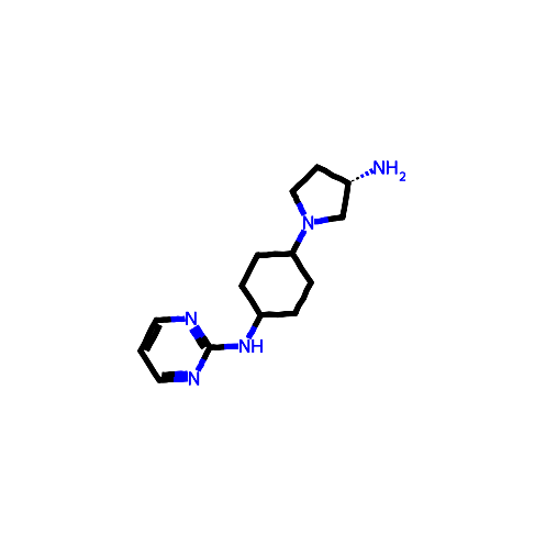 N[C@H]1CCN(C2CCC(Nc3ncccn3)CC2)C1